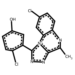 Cc1nc2ccc(Cl)cc2n2c(-c3cc(O)ccc3Cl)nnc12